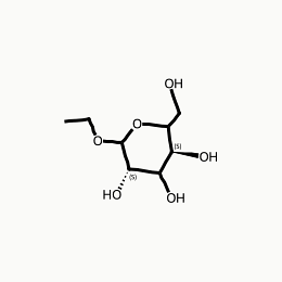 CCOC1OC(CO)[C@@H](O)C(O)[C@@H]1O